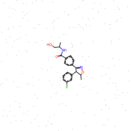 CC(CO)NC(=O)c1ccc(C2=NOC(C)C2c2cccc(F)c2)cc1